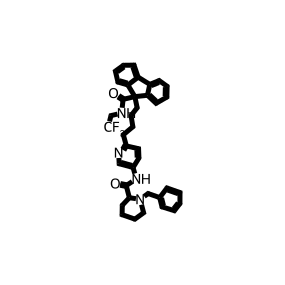 O=C(Nc1ccc(CCCCC2(C(=O)NCC(F)(F)F)c3ccccc3-c3ccccc32)nc1)C1CCCCN1Cc1ccccc1